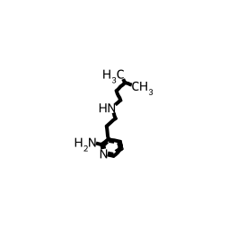 CC(C)CCNCCc1cccnc1N